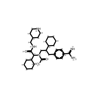 CC(=O)N(CC(Cc1ccc(C(=N)N)cc1)C1CCCCC1)C(C(=O)NCC1CCNCC1)C1CCCCC1